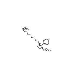 CCCCCCCCCCCCCCCCCC[n+]1ccn(CCCCCCCC)c1-c1ccccc1